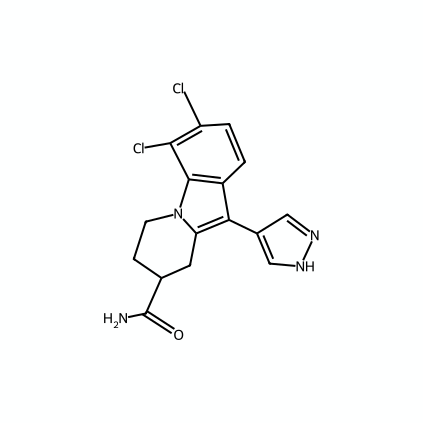 NC(=O)C1CCn2c(c(-c3cn[nH]c3)c3ccc(Cl)c(Cl)c32)C1